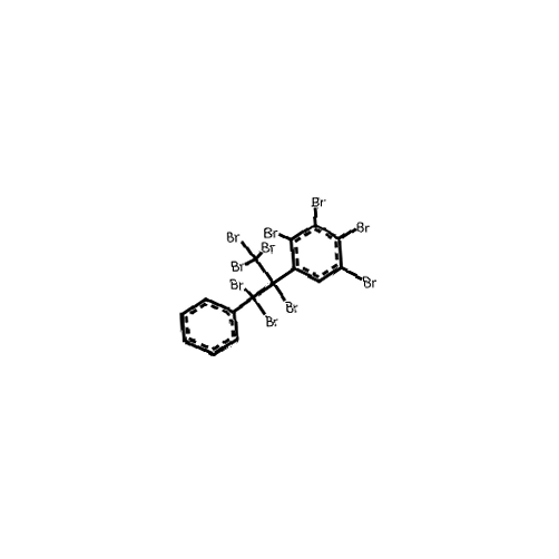 Brc1cc(C(Br)(C(Br)(Br)Br)C(Br)(Br)c2ccccc2)c(Br)c(Br)c1Br